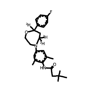 [2H]C1(c2ccc(F)cc2)CC([2H])([2H])N(c2cc(C)c(NC(=O)CC(C)(C)C)c(C)c2)CCO1